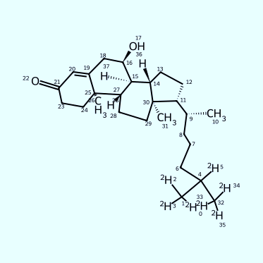 [2H]C([2H])([2H])C([2H])(CCC[C@@H](C)[C@H]1CC[C@H]2[C@@H]3[C@H](O)CC4=CC(=O)CC[C@]4(C)[C@H]3CC[C@]12C)C([2H])([2H])[2H]